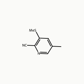 CSc1cc(C)cnc1C#N